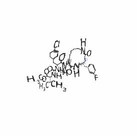 COC(=O)C(NC(=O)NC(Cc1ccc(Cl)cc1)C(=O)N[C@H]1CCCCNC(=O)/C=C/[C@H](Cc2cccc(F)c2)NC1=O)C(C)C